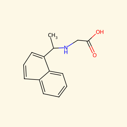 CC(NCC(=O)O)c1cccc2ccccc12